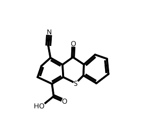 N#Cc1ccc(C(=O)O)c2sc3ccccc3c(=O)c12